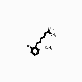 CC(C)CCCCCc1ccccc1O.[CaH2]